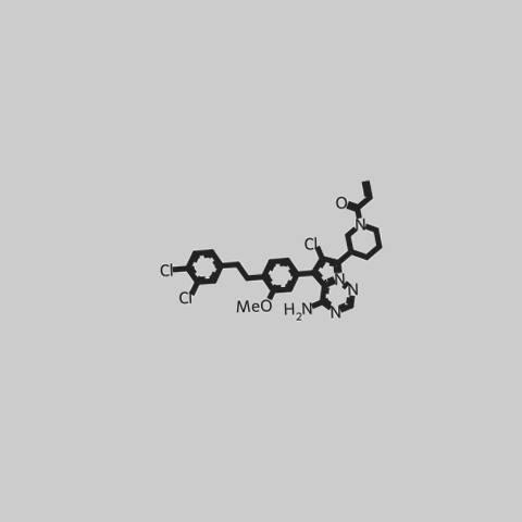 C=CC(=O)N1CCCC(c2c(Cl)c(-c3ccc(CCc4ccc(Cl)c(Cl)c4)c(OC)c3)c3c(N)ncnn23)C1